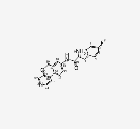 NC(Cc1ccc(F)cc1)C(=O)Nc1ccc2c(c1)COc1cnccc1-2